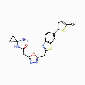 N#Cc1ccc(-c2ccc3nc(Cc4nnc(CC(=O)NC5(N)CC5)o4)sc3c2)s1